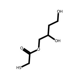 O=C(CS)OCC(O)CCO